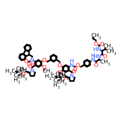 C=CCOC(=O)NC(C(=O)NC(C)C(=O)Nc1ccc(COC(=O)Nc2cc(OCc3cccc(COc4cc(N(CC5c6ccccc6-c6ccccc65)C(=O)O)c(C(=O)N5CCCC5CO[Si](C)(C)C(C)(C)C)cc4OC)c3)c(OC)cc2C(=O)N2CCCC2CO[Si](C)(C)C(C)(C)C)cc1)C(C)C